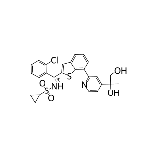 CC(O)(CO)c1ccnc(-c2cccc3cc([C@H](NS(=O)(=O)C4CC4)c4ccccc4Cl)sc23)c1